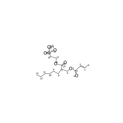 CC=CC(=O)OCC(CCCCCC)C(=O)OCCS(=O)(=O)O